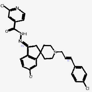 O=C(N/N=C1\CC2(CCN(C/C=C/c3ccc(Cl)cc3)CC2)c2cc(Cl)ccc21)c1ccnc(Cl)c1